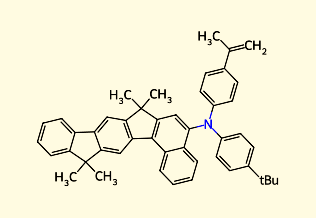 C=C(C)c1ccc(N(c2ccc(C(C)(C)C)cc2)c2cc3c(c4ccccc24)-c2cc4c(cc2C3(C)C)-c2ccccc2C4(C)C)cc1